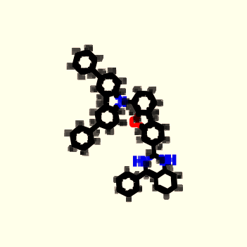 C1=CC2=C(c3ccccc3)NC(c3ccc4c(c3)oc3c(-n5c6ccc(-c7ccccc7)cc6c6cc(-c7ccccc7)ccc65)cccc34)NC2C=C1